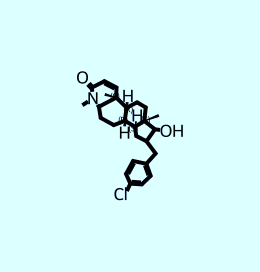 CN1C(=O)C=C[C@@]2(C)C1CC[C@@H]1[C@H]2CC[C@]2(C)C(O)C(Cc3ccc(Cl)cc3)C[C@@H]12